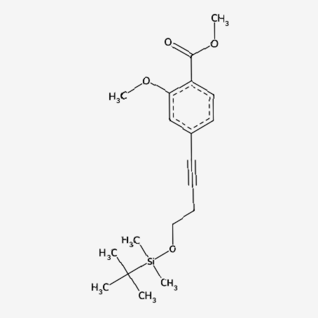 COC(=O)c1ccc(C#CCCO[Si](C)(C)C(C)(C)C)cc1OC